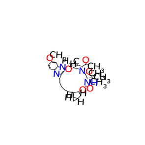 COc1ccc2nc3c(nc2c1)O[C@H]1CN(C(=O)[C@H](C(C)(C)C)NC(=O)O[C@@H]2C[C@H]4C[C@H]4[C@H]2CCCCC3)[C@H](C(C)=O)[C@@H]1C